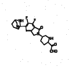 O=CC(=O)C1CCC(N2Cc3cc(N4CC5CCC4CN5)c(F)c(F)c3C2=O)CN1